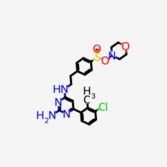 Cc1c(Cl)cccc1-c1cc(NCCc2ccc(S(=O)ON3CCOCC3)cc2)nc(N)n1